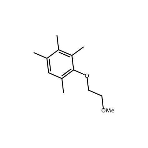 COCCOc1c(C)cc(C)c(C)c1C